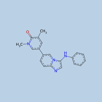 Cc1cc(-c2ccc3ncc(Nc4ccccc4)n3c2)cn(C)c1=O